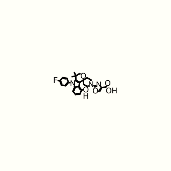 CC1(C)COC2(CCN(c3nc(C(=O)O)co3)CC2)c2c1n(-c1ccc(F)cc1)c1cccc(O)c21